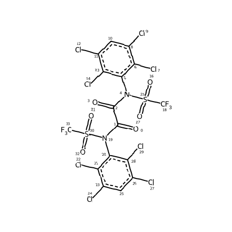 O=C(C(=O)N(c1c(Cl)c(Cl)cc(Cl)c1Cl)S(=O)(=O)C(F)(F)F)N(c1c(Cl)c(Cl)cc(Cl)c1Cl)S(=O)(=O)C(F)(F)F